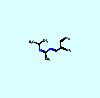 C=CC(=C)/C=N/C(C)=N\C(C)C